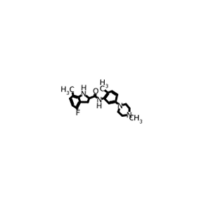 Cc1ccc(N2CCN(C)CC2)cc1NC(=O)C1Cc2c(F)ccc(C)c2N1